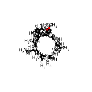 CC[C@H](C)C1NC(=O)[C@@H](CCCNC(=N)N)NC(=O)[C@H](CC(C)C)NC(=O)[C@H]([C@H](O)C(C)C)NC(=O)[C@@H](NC(=O)[C@H](CC(C)C)NC(=O)[C@H](N)c2ccc(O)cc2)[C@@H](c2ccccc2)OC(=O)[C@H](CO)NC(=O)[C@H]([C@H](O)C(N)=O)NC(=O)CNC(=O)C([C@H](C)O)NC1=O